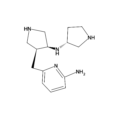 Nc1cccc(C[C@H]2CNC[C@H]2N[C@@H]2CCNC2)n1